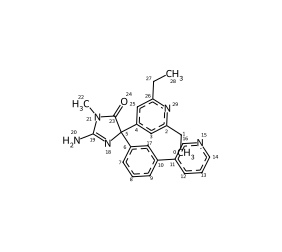 CCc1cc(C2(c3cccc(-c4cccnc4)c3)N=C(N)N(C)C2=O)cc(CC)n1